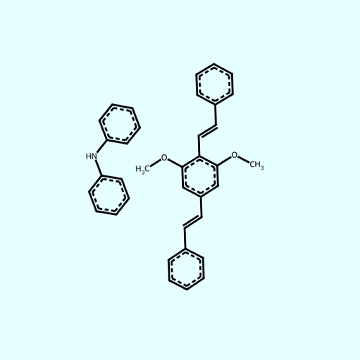 COc1cc(C=Cc2ccccc2)cc(OC)c1C=Cc1ccccc1.c1ccc(Nc2ccccc2)cc1